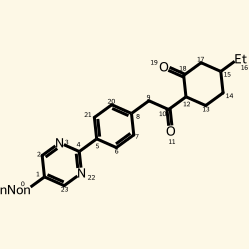 CCCCCCCCCc1cnc(-c2ccc(CC(=O)C3CCC(CC)CC3=O)cc2)nc1